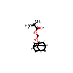 C=C(C)C(=O)OCOC12CC3CC(CC(C3)C1)C2